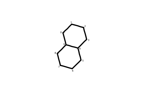 [CH]1CCCC2CCC[CH]C12